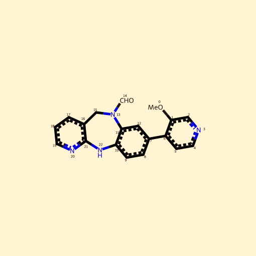 COc1cnccc1-c1ccc2c(c1)N(C=O)Cc1cccnc1N2